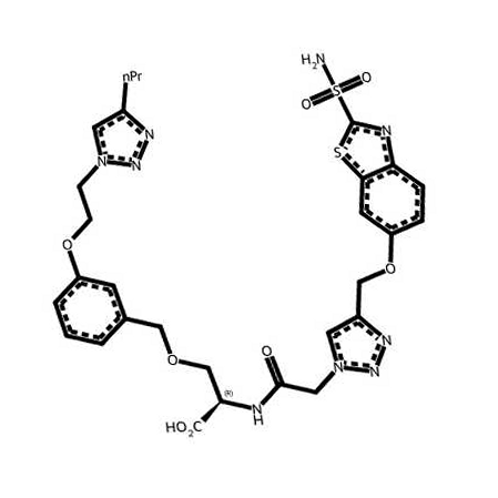 CCCc1cn(CCOc2cccc(COC[C@@H](NC(=O)Cn3cc(COc4ccc5nc(S(N)(=O)=O)sc5c4)nn3)C(=O)O)c2)nn1